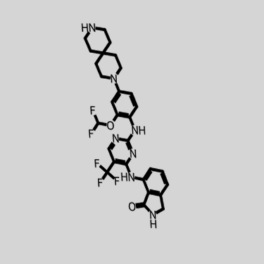 O=C1NCc2cccc(Nc3nc(Nc4ccc(N5CCC6(CCNCC6)CC5)cc4OC(F)F)ncc3C(F)(F)F)c21